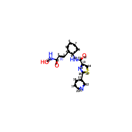 O=C(/C=C/c1ccccc1NC(=O)c1csc(-c2cccnc2)n1)NO